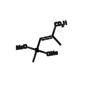 CO[Si](C)(C=C(C)C(=O)O)OC